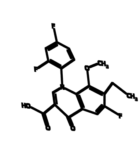 CCc1c(F)cc2c(=O)c(C(=O)O)cn(-c3ccc(F)cc3F)c2c1OC